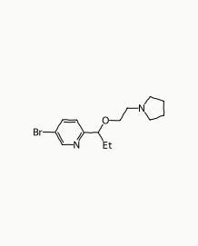 CCC(OCCN1CCCC1)c1ccc(Br)cn1